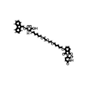 O=C1CCC(N2C(=O)c3cccc(OCCCCCOCCOCCOCCCCCC[C@H](NC(=O)OCC4c5ccccc5-c5ccccc54)C(=O)O)c3C2=O)C(=O)N1